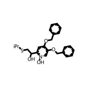 CC(C)SCC(O)c1cc(OCc2ccccc2)c(OCc2ccccc2)c[n+]1O